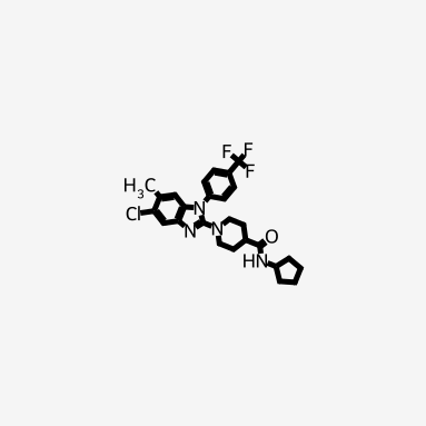 Cc1cc2c(cc1Cl)nc(N1CCC(C(=O)NC3CCCC3)CC1)n2-c1ccc(C(F)(F)F)cc1